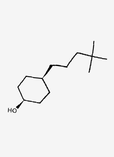 CC(C)(C)CCC[C@H]1CC[C@@H](O)CC1